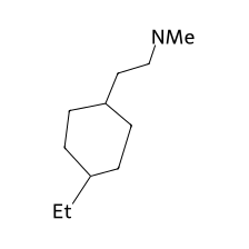 CCC1CCC(CCNC)CC1